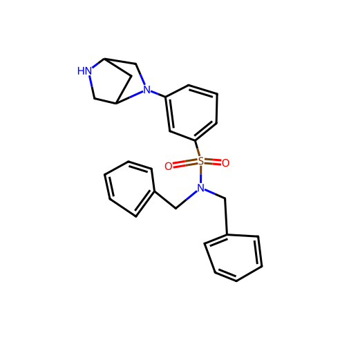 O=S(=O)(c1cccc(N2CC3CC2CN3)c1)N(Cc1ccccc1)Cc1ccccc1